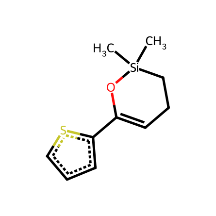 C[Si]1(C)CCC=C(c2cccs2)O1